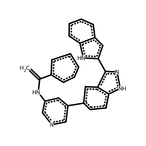 C=C(Nc1cncc(-c2ccc3[nH]nc(-c4cc5ccccc5[nH]4)c3c2)c1)c1ccccc1